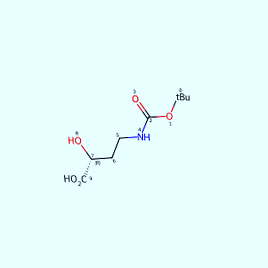 CC(C)(C)OC(=O)NCC[C@@H](O)C(=O)O